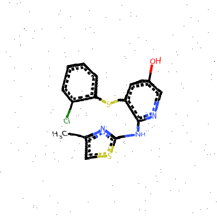 Cc1csc(Nc2ncc(O)cc2Sc2ccccc2Cl)n1